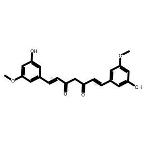 COc1cc(O)cc(/C=C/C(=O)CC(=O)/C=C/c2cc(O)cc(OC)c2)c1